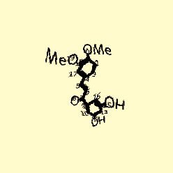 COc1ccc(/C=C/C(=O)c2cc(O)cc(O)c2)cc1OC